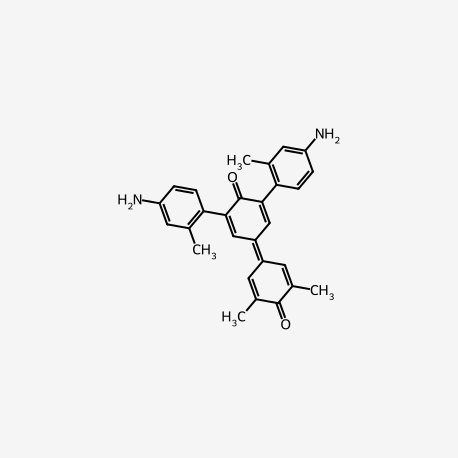 CC1=CC(=C2C=C(c3ccc(N)cc3C)C(=O)C(c3ccc(N)cc3C)=C2)C=C(C)C1=O